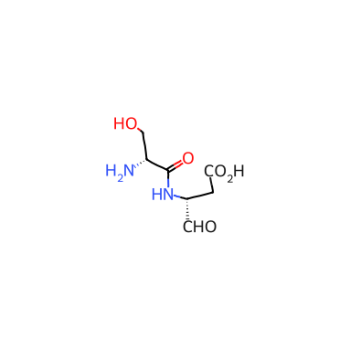 N[C@H](CO)C(=O)N[C@@H](C=O)CC(=O)O